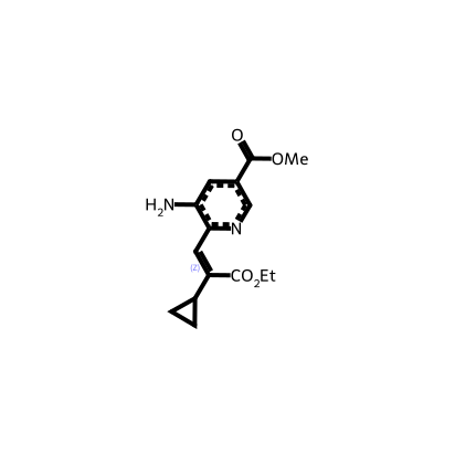 CCOC(=O)/C(=C\c1ncc(C(=O)OC)cc1N)C1CC1